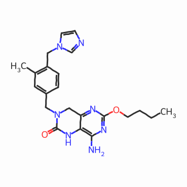 CCCCOc1nc(N)c2c(n1)CN(Cc1ccc(Cn3ccnc3)c(C)c1)C(=O)N2